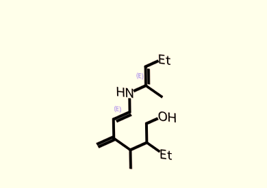 C=C(/C=C/N/C(C)=C/CC)C(C)C(CC)CO